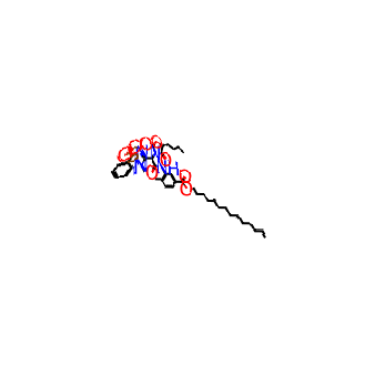 CCCCCCCCCCCCCCOC(=O)c1ccc(C)c(NC(=O)C(C2=NS(=O)(=O)c3ccccc3N2C)N2C(=O)OC(CCCC)C2=O)c1